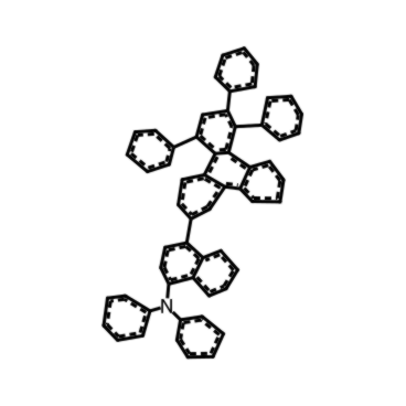 c1ccc(-c2cc(-c3ccccc3)c3c4ccc(-c5ccc(N(c6ccccc6)c6ccccc6)c6ccccc56)cc4c4ccccc4c3c2-c2ccccc2)cc1